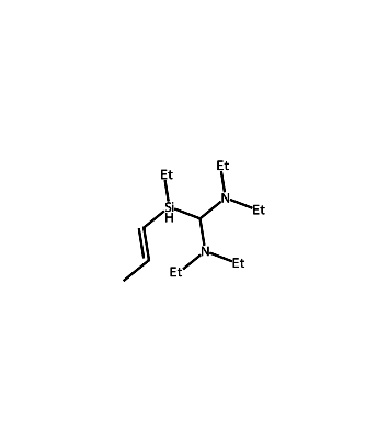 CC=C[SiH](CC)C(N(CC)CC)N(CC)CC